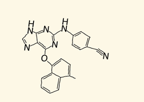 Cc1ccc(Oc2nc(Nc3ccc(C#N)cc3)nc3[nH]cnc23)c2ccccc12